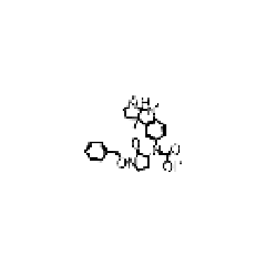 CN1CC[C@@]2(C)c3cc(N(C(=O)O)[C@@H]4CCN(OCc5ccccc5)C4=O)ccc3N(C)[C@@H]12